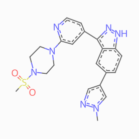 Cn1cc(-c2ccc3[nH]nc(-c4ccnc(N5CCN(S(C)(=O)=O)CC5)c4)c3c2)cn1